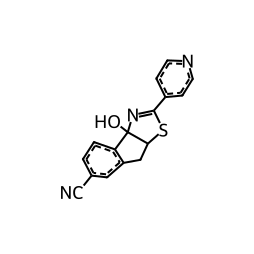 N#Cc1ccc2c(c1)CC1SC(c3ccncc3)=NC21O